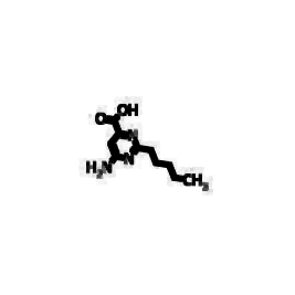 CCCCCc1nc(N)cc(C(=O)O)n1